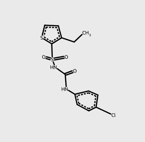 CCc1ccsc1S(=O)(=O)NC(=O)Nc1ccc(Cl)cc1